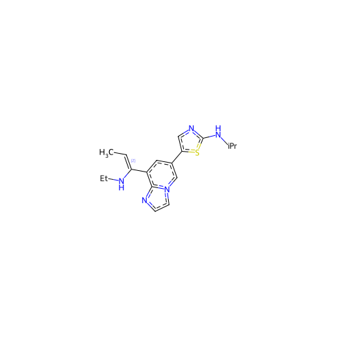 C/C=C(\NCC)c1cc(-c2cnc(NC(C)C)s2)cn2ccnc12